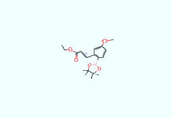 CCOC(=O)/C=C/c1cc(OC)ccc1B1OC(C)(C)C(C)(C)O1